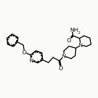 NC(=O)C1CCCCN1C1CCN(C(=O)[CH]Cc2ccc(OCc3ccccc3)nc2)CC1